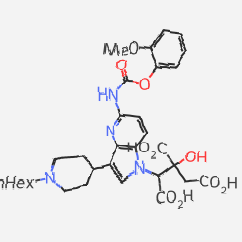 CCCCCCN1CCC(c2cn(C(C(=O)O)C(O)(CC(=O)O)C(=O)O)c3ccc(NC(=O)Oc4ccccc4OC)nc23)CC1